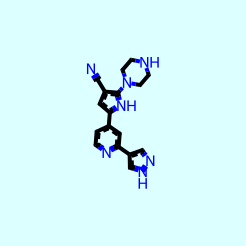 N#Cc1cc(-c2ccnc(-c3cn[nH]c3)c2)[nH]c1N1CCNCC1